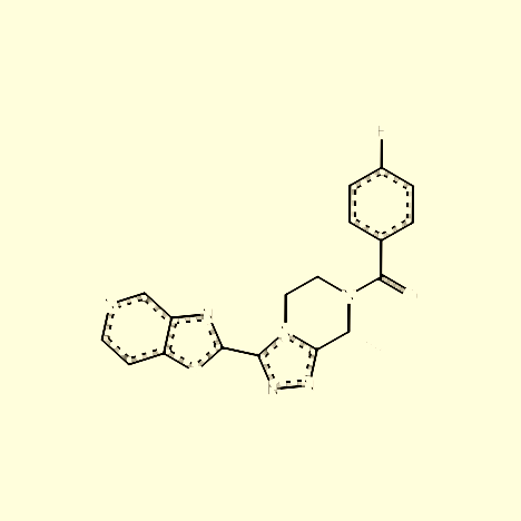 C[C@@H]1c2nnc(-c3nc4cnccc4s3)n2CCN1C(=O)c1ccc(F)cc1